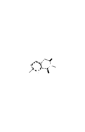 Cc1ccc2c(n1)C(=O)N(C)C(=O)C2